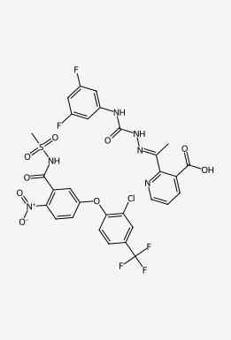 C/C(=N\NC(=O)Nc1cc(F)cc(F)c1)c1ncccc1C(=O)O.CS(=O)(=O)NC(=O)c1cc(Oc2ccc(C(F)(F)F)cc2Cl)ccc1[N+](=O)[O-]